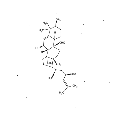 CC(=O)O[C@H]1CC[C@@H]2C(=C[C@H](O)[C@@H]3[C@@]2(C=O)CC[C@]2(C)C([C@H](C)C[C@H](C=C(C)C)OC(C)=O)CC[C@@]32C)C1(C)C